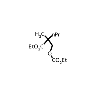 CCCC(C)(COC(=O)OCC)C(=O)OCC